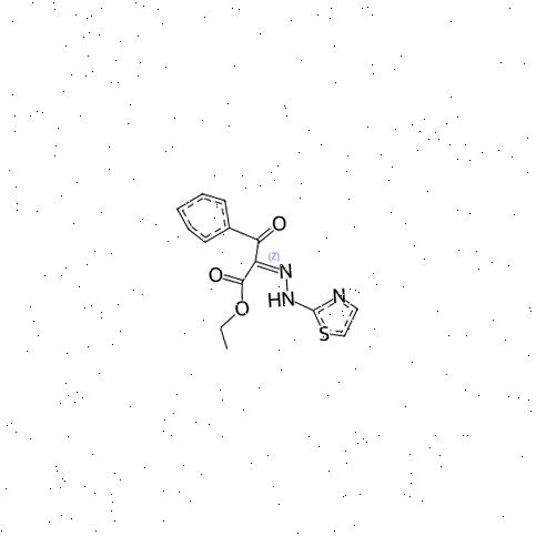 CCOC(=O)/C(=N\Nc1nccs1)C(=O)c1ccccc1